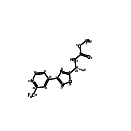 C[C@@H](NC(=O)OC(C)(C)C)c1nc(-c2ccnc(C(F)(F)F)c2)no1